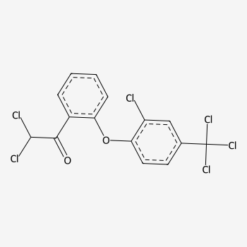 O=C(c1ccccc1Oc1ccc(C(Cl)(Cl)Cl)cc1Cl)C(Cl)Cl